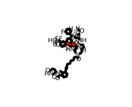 NC(=O)OC[C@H](NC(=O)[C@@H]1CC[C@@H]2CCN(C(=O)CCCCCC#Cc3cccc4c3CN(C3CCC(=O)NC3=O)C4=O)C[C@H](NC(=O)c3cc4cc(C(F)(F)P(=O)(O)O)ccc4s3)C(=O)N21)C(=O)NC(c1cccc(F)c1)c1cccc(F)c1